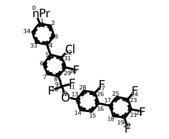 CCCc1ccc(-c2ccc(C(F)(F)Oc3ccc(-c4cc(F)c(F)c(F)c4)c(F)c3)c(F)c2Cl)cc1